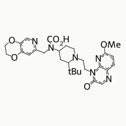 COc1ccc2ncc(=O)n(CCN3CCC(N(Cc4cc5c(cn4)OCCO5)C(=O)O)CC3C(C)(C)C)c2n1